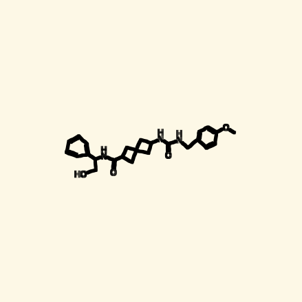 COc1ccc(CNC(=O)NC2CC3(C2)CC(C(=O)NC(CO)c2ccccc2)C3)cc1